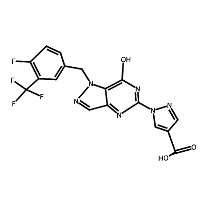 O=C(O)c1cnn(-c2nc(O)c3c(cnn3Cc3ccc(F)c(C(F)(F)F)c3)n2)c1